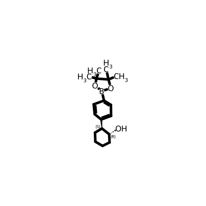 CC1(C)OB(c2ccc([C@@H]3CCCC[C@H]3O)cc2)OC1(C)C